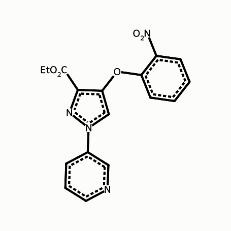 CCOC(=O)c1nn(-c2cccnc2)cc1Oc1ccccc1[N+](=O)[O-]